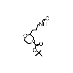 CC(C)(C)OC(=O)N1CCOC(CCCNC=O)C1